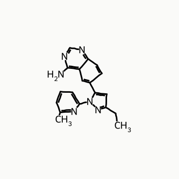 CCc1cc(-c2ccc3ncnc(N)c3c2)n(-c2cccc(C)n2)n1